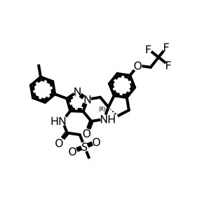 Cc1cccc(-c2nn3c(c2NC(=O)CS(C)(=O)=O)C(=O)N[C@@]2(CCc4cc(OCC(F)(F)F)ccc42)C3)c1